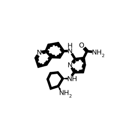 NC(=O)c1ccc(N[C@@H]2CCCC[C@@H]2N)nc1Nc1ccc2ncccc2c1